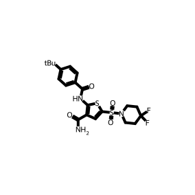 CC(C)(C)c1ccc(C(=O)Nc2sc(S(=O)(=O)N3CCC(F)(F)CC3)cc2C(N)=O)cc1